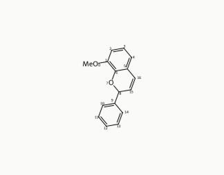 COc1cccc2c1OC(c1ccccc1)C=C2